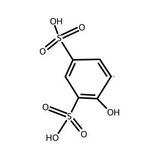 O=S(=O)(O)c1c[c]c(O)c(S(=O)(=O)O)c1